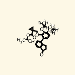 [2H]C([2H])([2H])Oc1ccc(-c2cccc3c2CCC3=O)c(OCC2(C(=O)OC(C)C)CC2)c1OC([2H])([2H])[2H]